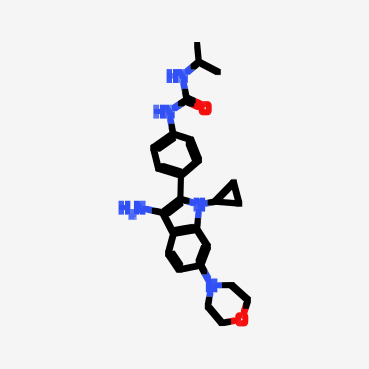 CC(C)NC(=O)Nc1ccc(-c2c(N)c3ccc(N4CCOCC4)cc3n2C2CC2)cc1